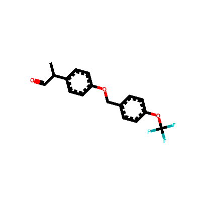 CC(C=O)c1ccc(OCc2ccc(OC(F)(F)F)cc2)cc1